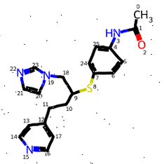 CC(=O)Nc1ccc(SC(CCc2ccncc2)Cn2ccnc2)cc1